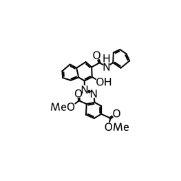 COC(=O)c1ccc(C(=O)OC)c(/N=N/c2c(O)c(C(=O)Nc3ccccc3)cc3ccccc23)c1